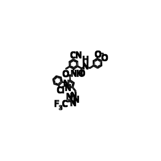 Cc1cc(C#N)cc(C(=O)NCc2ccc3c(c2)OCO3)c1NC(=O)c1cc(Cn2nnc(C(F)(F)F)n2)nn1-c1ccccc1Cl